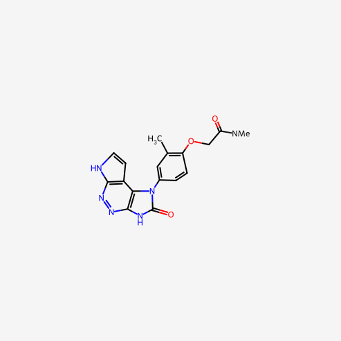 CNC(=O)COc1ccc(-n2c(=O)[nH]c3nnc4[nH]ccc4c32)cc1C